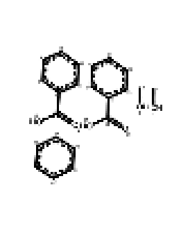 CO.CO.O=C(O)c1ccccc1.O=C(O)c1ccccc1.c1ccccc1